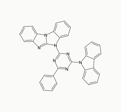 c1ccc(-c2nc(-n3c4ccccc4c4ccccc43)nc(-n3c4ccccc4n4c5ccccc5nc34)n2)cc1